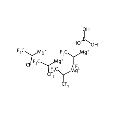 FC(F)(F)[CH]([Mg+])C(F)(F)F.FC(F)(F)[CH]([Mg+])C(F)(F)F.FC(F)(F)[CH]([Mg+])C(F)(F)F.FC(F)(F)[CH]([Mg+])C(F)(F)F.OB(O)O